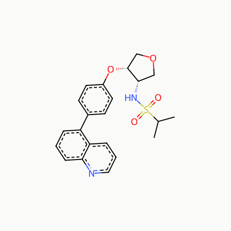 CC(C)S(=O)(=O)N[C@H]1COC[C@H]1Oc1ccc(-c2cccc3ncccc23)cc1